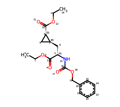 CCOC(=O)[C@H](C[C@H]1C[C@@H]1C(=O)OCC)NC(=O)OCc1ccccc1